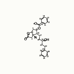 O=C1C[C@H]2C(CC(OC(=O)c3ccccc3)C2CC[C@@H](O)CCc2ccccc2)O1